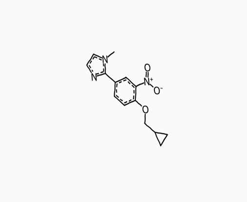 Cn1ccnc1-c1ccc(OCC2CC2)c([N+](=O)[O-])c1